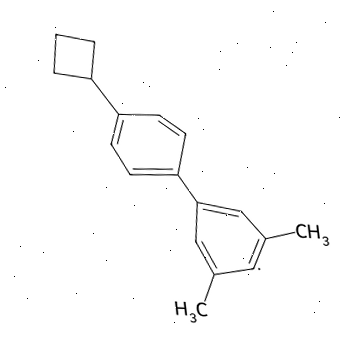 Cc1[c]c(C)cc(-c2ccc(C3CCC3)cc2)c1